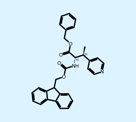 C[C@@H](c1ccncc1)[C@H](NC(=O)OCC1c2ccccc2-c2ccccc21)C(=O)OCc1ccccc1